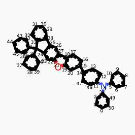 c1ccc(N(c2ccccc2)c2ccc(-c3ccc4c(c3)oc3cc5c(cc34)-c3ccccc3C5(c3ccccc3)c3ccccc3)cc2)cc1